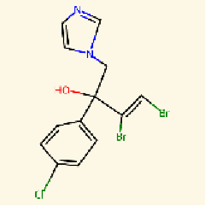 OC(Cn1ccnc1)(C(Br)=CBr)c1ccc(Cl)cc1